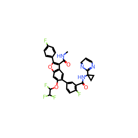 CNC(=O)c1c(-c2ccc(F)cc2)oc2cc(OC(F)C(F)F)c(-c3ccc(F)c(C(=O)NC4(c5ncccn5)CC4)c3)cc12